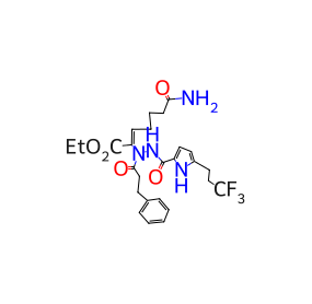 CCOC(=O)/C(=C/CCCC(N)=O)N(NC(=O)c1ccc(CCC(F)(F)F)[nH]1)C(=O)CCc1ccccc1